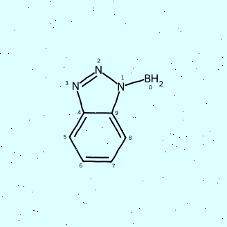 Bn1nnc2ccccc21